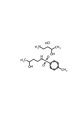 CC(O)CCN.Cc1ccc(S(=O)(=O)NCCC(C)O)cc1.Cl